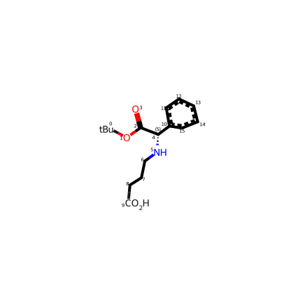 CC(C)(C)OC(=O)[C@@H](NCCCC(=O)O)c1ccccc1